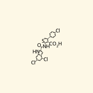 O=C(Nc1scc(-c2ccc(Cl)cc2)c1C(=O)O)c1cc2c(Cl)cc(Cl)cc2[nH]1